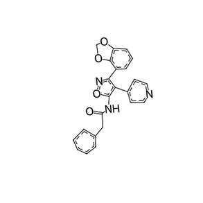 O=C(Cc1ccccc1)Nc1onc(-c2cccc3c2OCO3)c1-c1ccncc1